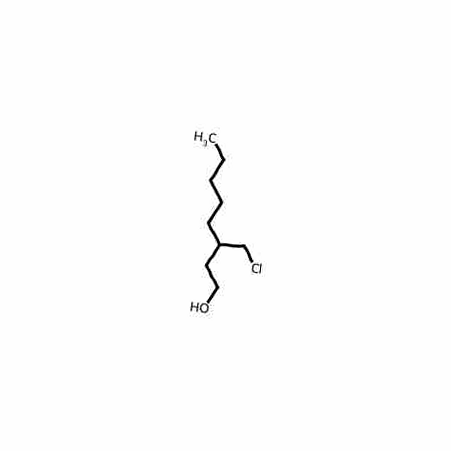 CCCCCC(CCl)CCO